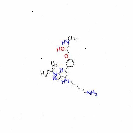 CNCC(O)COc1cccc(-c2cc(NCCCCCCN)c3cnn(C(C)C)c3n2)c1